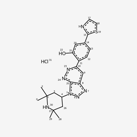 CC1(C)CC(n2nnc3cc(-c4ccc(-c5nccs5)cc4O)nnc32)CC(C)(C)N1.Cl